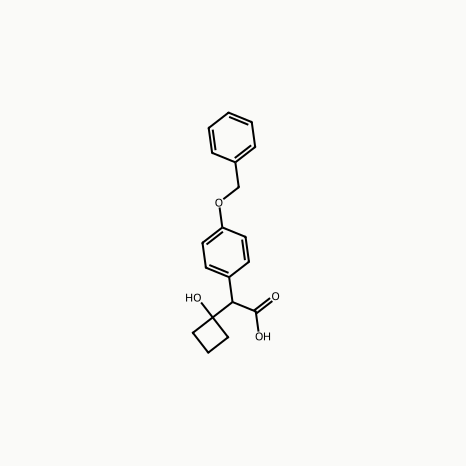 O=C(O)C(c1ccc(OCc2ccccc2)cc1)C1(O)CCC1